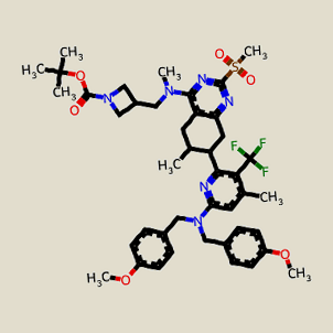 COc1ccc(CN(Cc2ccc(OC)cc2)c2cc(C)c(C(F)(F)F)c(C3Cc4nc(S(C)(=O)=O)nc(N(C)CC5CN(C(=O)OC(C)(C)C)C5)c4CC3C)n2)cc1